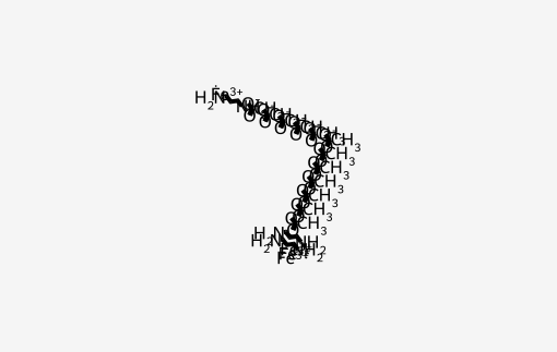 CC(=O)[O-].CC(=O)[O-].CC(=O)[O-].CC(=O)[O-].CC(=O)[O-].CC(=O)[O-].CC(=O)[O-].CC(=O)[O-].CC(=O)[O-].CC(=O)[O-].CC(=O)[O-].CC(=O)[O-].NCCCN.NCCCN.NCCCN.[Fe+3].[Fe+3].[Fe+3].[Fe+3]